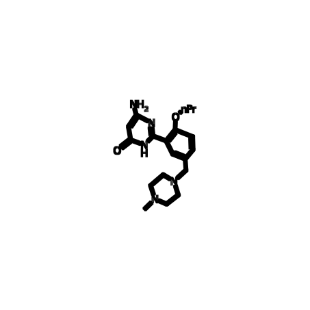 CCCOc1ccc(CN2CCN(C)CC2)cc1-c1nc(N)cc(=O)[nH]1